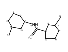 CC1CCCC(NC(=O)C2CCCC(C)C2)C1